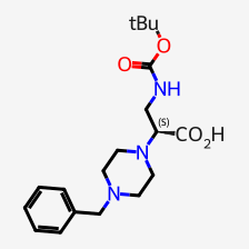 CC(C)(C)OC(=O)NC[C@@H](C(=O)O)N1CCN(Cc2ccccc2)CC1